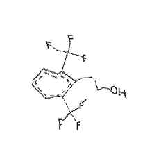 OCCc1c(C(F)(F)F)cccc1C(F)(F)F